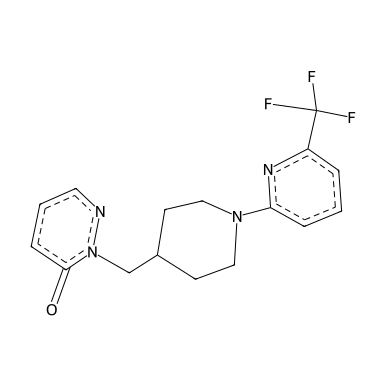 O=c1cccnn1CC1CCN(c2cccc(C(F)(F)F)n2)CC1